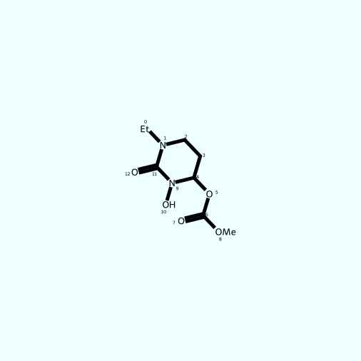 CCN1CCC(OC(=O)OC)N(O)C1=O